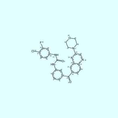 O=C(Nc1cccc(C(=O)c2ccc3ncc(N4CCOCC4)nc3c2)c1)Nc1ccc(Cl)c(F)c1